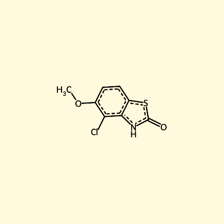 COc1ccc2sc(=O)[nH]c2c1Cl